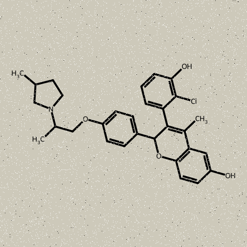 CC1=C(c2cccc(O)c2Cl)C(c2ccc(OCC(C)N3CCC(C)C3)cc2)Oc2ccc(O)cc21